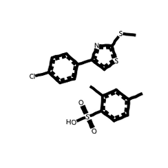 CSc1nc(-c2ccc(Cl)cc2)cs1.Cc1ccc(S(=O)(=O)O)c(C)c1